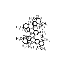 Cc1cc2c3c(c1)N(c1ccc4c(c1C)C(C)(C)CCC4(C)C)c1c(oc4c1C(C)(C)CCC4(C)C)B3c1cc3c(cc1N2c1cc2c(cc1C)C(C)(C)CCC2(C)C)C(C)(C)CCC3(C)C